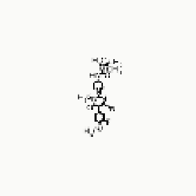 COc1ccc(-c2c(C#N)nc(N3CCC(NC(=O)OC(C)(C)C)CC3)n(C)c2=O)cc1F